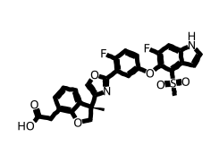 C[C@@]1(c2coc(-c3cc(Oc4c(F)cc5[nH]ccc5c4S(C)(=O)=O)ccc3F)n2)COc2c(CC(=O)O)cccc21